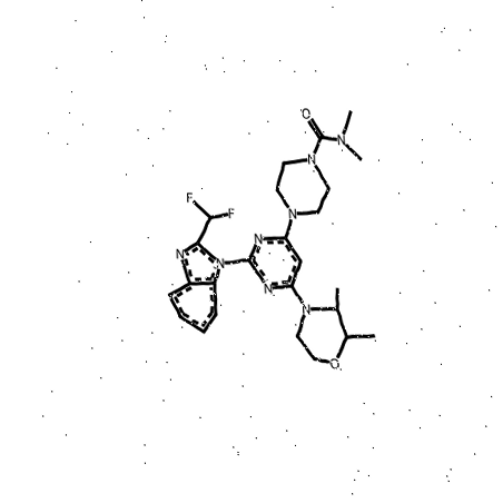 CC1OCCN(c2cc(N3CCN(C(=O)N(C)C)CC3)nc(-n3c(C(F)F)nc4ccccc43)n2)C1C